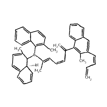 C=C/C=C\c1cc2ccccc2c(C(=C)/C=C\C=C(/C)B(c2c(C)ccc3ccccc23)C2C(C)=CC=C3C=CC=C[C@@H]32)c1C